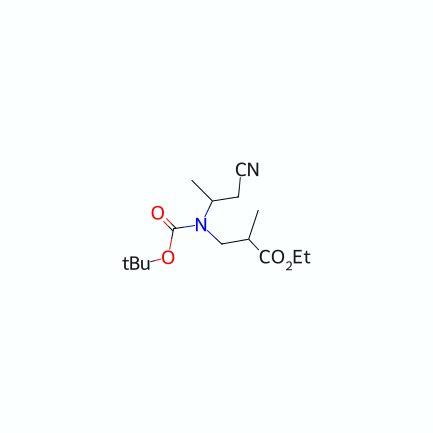 CCOC(=O)C(C)CN(C(=O)OC(C)(C)C)C(C)CC#N